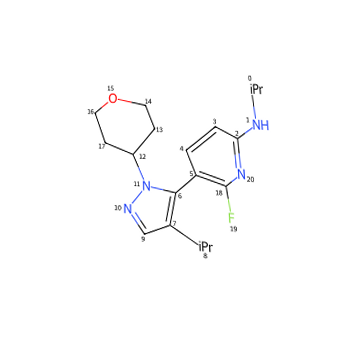 CC(C)Nc1ccc(-c2c(C(C)C)cnn2C2CCOCC2)c(F)n1